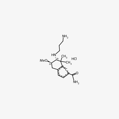 CO[C@@H]1Cc2ccc(C(N)=O)cc2C(C)(C)[C@H]1NCCCN.Cl